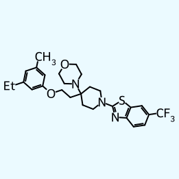 CCc1cc(C)cc(OCCC2(N3CCOCC3)CCN(c3nc4ccc(C(F)(F)F)cc4s3)CC2)c1